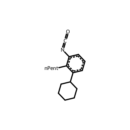 CCCCCc1c(N=C=O)cccc1C1CCCCC1